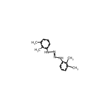 Cc1cccc(NN=NNc2cccc(C)c2C)c1C